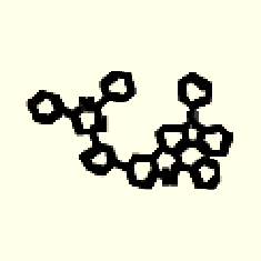 c1ccc(-c2cc(-c3cccc(-c4ccc5nc(-c6ccccc6)c6c(ccc7c6c6ccccc6n7-c6ccccc6)c5c4)c3)nc(-c3ccccc3)n2)cc1